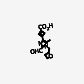 Cc1c(C23CC(C(=O)O)(C2)C3)nc(C=O)n1CC1CCO1